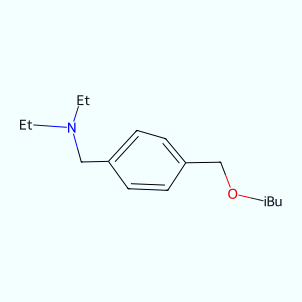 CCC(C)OCc1ccc(CN(CC)CC)cc1